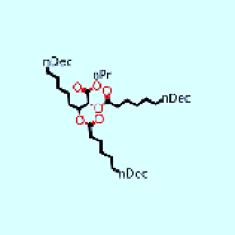 CCCCCCCCCCCCCCCC(=O)OC(CCCCCCCCCCCCCCC)[C@@H](OC(=O)CCCCCCCCCCCCCCC)C(=O)OCCC